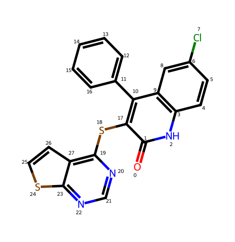 O=c1[nH]c2ccc(Cl)cc2c(-c2ccccc2)c1Sc1ncnc2sccc12